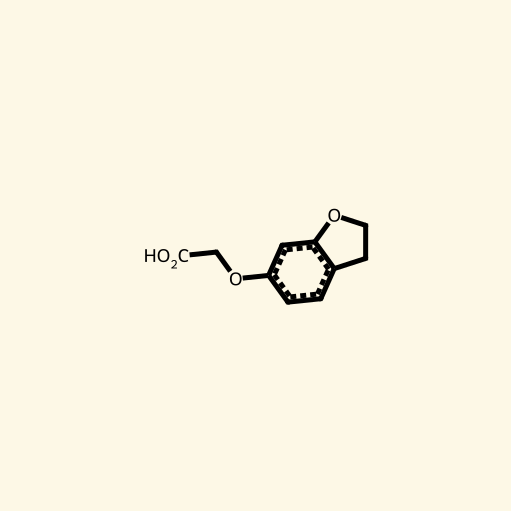 O=C(O)COc1ccc2c(c1)OCC2